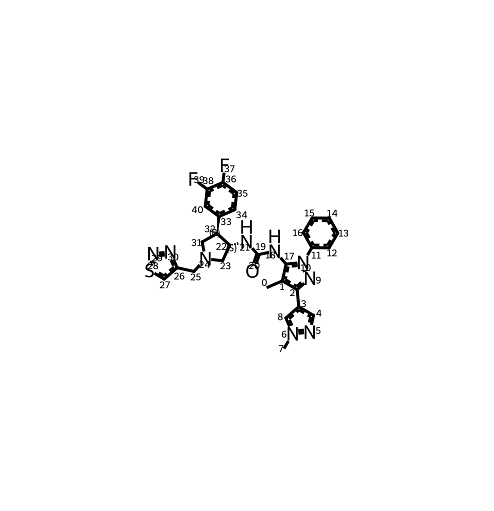 Cc1c(-c2cnn(C)c2)nn(-c2ccccc2)c1NC(=O)N[C@@H]1CN(Cc2csnn2)C[C@H]1c1ccc(F)c(F)c1